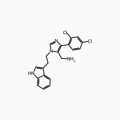 NCc1c(-c2ccc(Cl)cc2Cl)ncn1CCc1c[nH]c2ccccc12